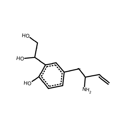 C=CC(N)[CH]c1ccc(O)c(C(O)CO)c1